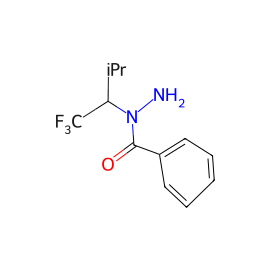 CC(C)C(N(N)C(=O)c1ccccc1)C(F)(F)F